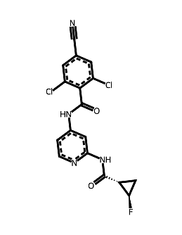 N#Cc1cc(Cl)c(C(=O)Nc2ccnc(NC(=O)[C@@H]3C[C@H]3F)c2)c(Cl)c1